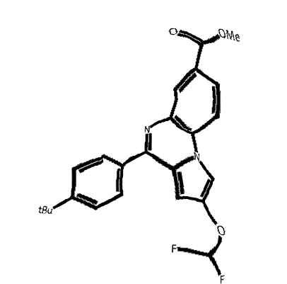 COC(=O)c1ccc2c(c1)nc(-c1ccc(C(C)(C)C)cc1)c1cc(OC(F)F)cn12